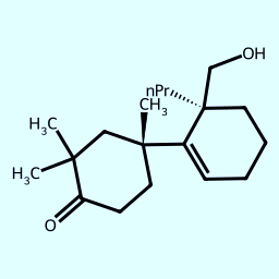 CCC[C@]1(CO)CCCC=C1[C@]1(C)CCC(=O)C(C)(C)C1